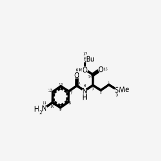 CSCCC(NC(=O)c1ccc(N)cc1)C(=O)OC(C)(C)C